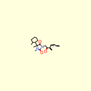 C=C/C=C\C(=C)C(=O)CN1C(=O)N(C)C(C)(C2CCCCC2C)C1=O